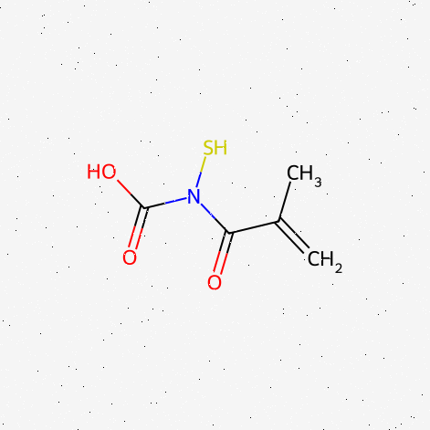 C=C(C)C(=O)N(S)C(=O)O